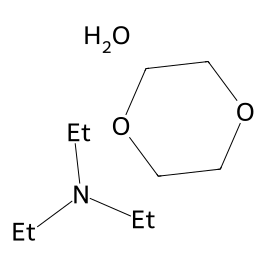 C1COCCO1.CCN(CC)CC.O